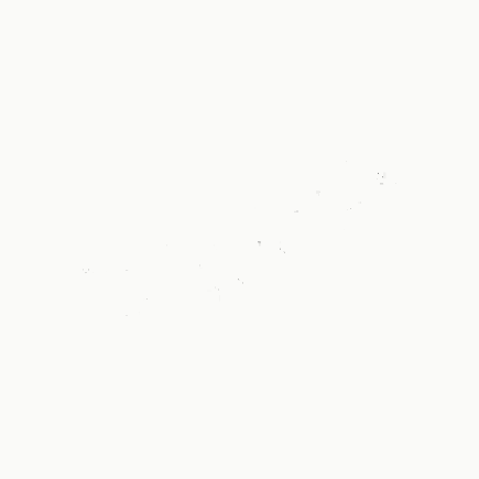 COc1ccc(-c2cc(C(=O)Nc3ccc(S(N)(=O)=O)cc3)n[nH]2)cc1Br